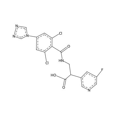 O=C(NCC(C(=O)O)c1cncc(F)c1)c1c(Cl)cc(-n2cnnc2)cc1Cl